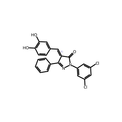 O=C1/C(=C/c2ccc(O)c(O)c2)C(c2ccccc2)=NN1c1cc(Cl)cc(Cl)c1